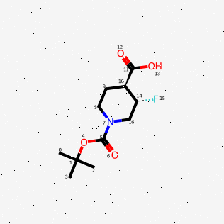 CC(C)(C)OC(=O)N1CC[C@@H](C(=O)O)[C@H](F)C1